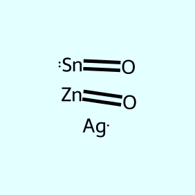 [Ag].[O]=[Sn].[O]=[Zn]